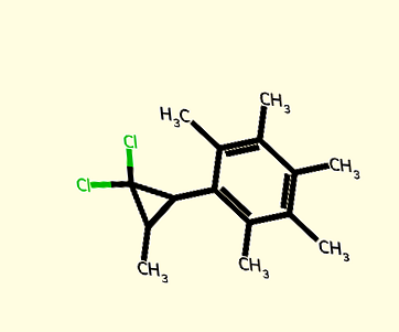 Cc1c(C)c(C)c(C2C(C)C2(Cl)Cl)c(C)c1C